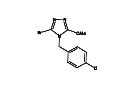 COc1nnc(Br)n1Cc1ccc(Cl)cc1